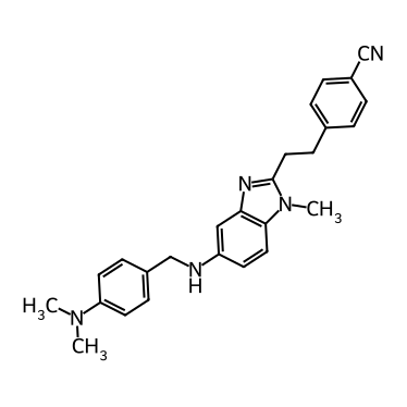 CN(C)c1ccc(CNc2ccc3c(c2)nc(CCc2ccc(C#N)cc2)n3C)cc1